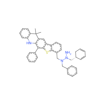 CC1(C)c2ccccc2Nc2c1cc1c(sc3c(CN(Cc4ccccc4)N(N)C[C@H]4C=CC=CC4)cccc31)c2-c1ccccc1